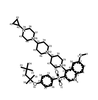 CSc1ccc2ncc(S(=O)(=O)c3ccc(OC(C)(C)CC(C)(C)C)cc3)c(N3CCC(N4CCC(N5CCN(C6CC6)CC5)CC4)CC3)c2c1